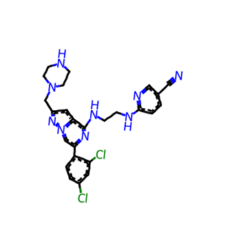 N#Cc1ccc(NCCNc2nc(-c3ccc(Cl)cc3Cl)cn3nc(CN4CCNCC4)cc23)nc1